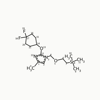 Cc1cn(COCC[Si](C)(C)C)c(OC2CCC(F)(F)CC2)n1